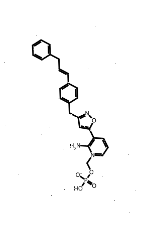 Nc1c(-c2cc(Cc3ccc(/C=C/Cc4ccccc4)cc3)no2)ccc[n+]1COP(=O)([O-])O